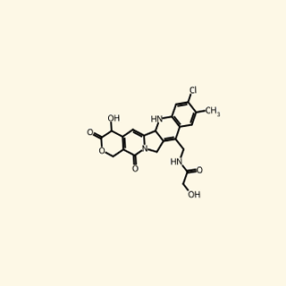 Cc1cc2c(cc1Cl)NC1C(=C2CNC(=O)CO)Cn2c1cc1c(c2=O)COC(=O)C1O